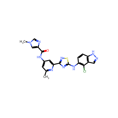 Cc1cc(NC(=O)c2cn(C)cn2)cc(-c2nsc(Nc3ccc4[nH]ncc4c3Cl)n2)n1